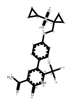 NC(=O)c1cc(-c2ccc(OCC3(S(=O)(=O)C4CC4)CC3)cc2)c(C(F)(F)F)[nH]c1=O